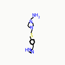 NCCN1CCCN(CCSCc2ccc(Cc3ncc[nH]3)cc2)CC1